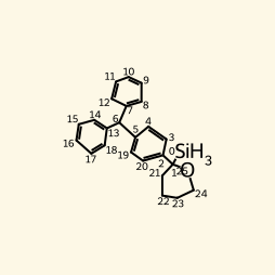 [SiH3]C1(c2ccc(C(c3ccccc3)c3ccccc3)cc2)CCCCO1